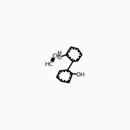 C#C.Oc1ccccc1-c1ccccc1O